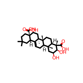 CC1(C)CC[C@]2(C(=O)O)[C@H](O)C[C@]3(C)C(=CC[C@@H]4[C@@]5(C)C[C@H](O)[C@H](O)[C@@](C)(C(=O)O)[C@@H]5CC[C@]43C)[C@@H]2C1